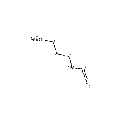 COCCCN[C]=S